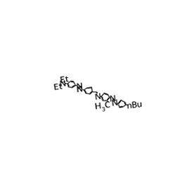 CCCCc1ccc(N=Nc2ccc(N=Cc3ccc(N=Nc4ccc(N(CC)CC)cc4)cc3)cc2C)cc1